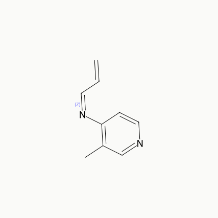 C=C/C=N\c1ccncc1C